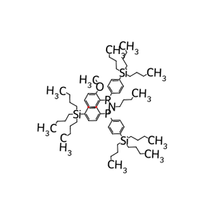 CCCCN(P(c1ccc([Si](CCCC)(CCCC)CCCC)cc1)c1ccc([Si](CCCC)(CCCC)CCCC)cc1)P(c1ccc([Si](CCCC)(CCCC)CCCC)cc1)c1ccccc1OC